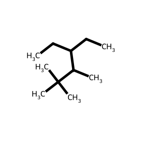 CCC(CC)[C](C)C(C)(C)C